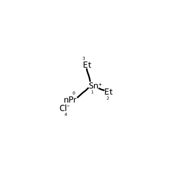 CC[CH2][Sn+]([CH2]C)[CH2]C.[Cl-]